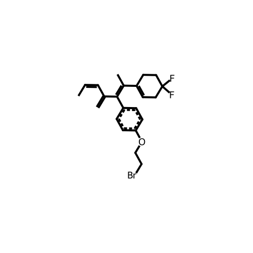 C=C(/C=C\C)/C(=C(\C)C1=CCC(F)(F)CC1)c1ccc(OCCBr)cc1